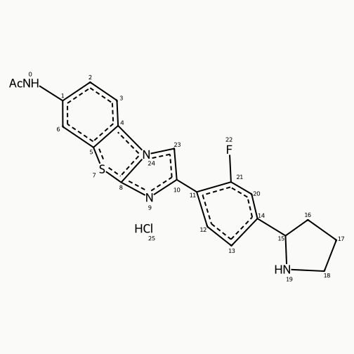 CC(=O)Nc1ccc2c(c1)sc1nc(-c3ccc(C4CCCN4)cc3F)cn12.Cl